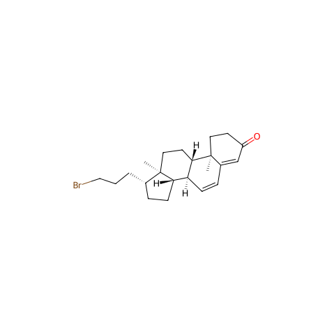 C[C@]12CC[C@H]3[C@@H](C=CC4=CC(=O)CC[C@@]43C)[C@@H]1CC[C@@H]2CCCBr